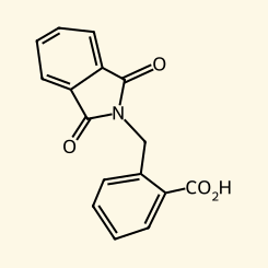 O=C(O)c1ccccc1CN1C(=O)c2ccccc2C1=O